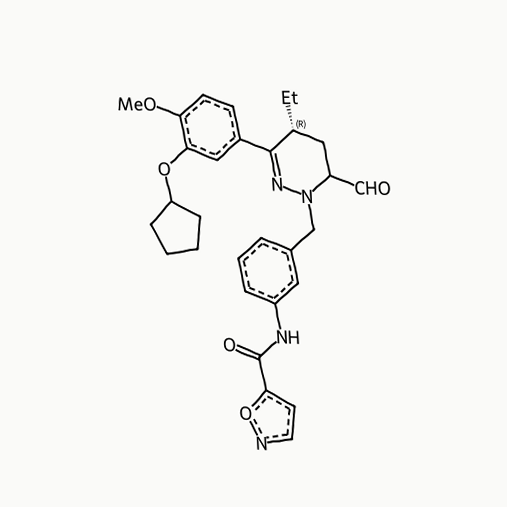 CC[C@@H]1CC(C=O)N(Cc2cccc(NC(=O)c3ccno3)c2)N=C1c1ccc(OC)c(OC2CCCC2)c1